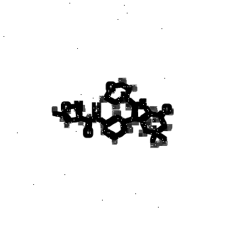 Cc1cc(C(=O)Nc2cccc(-c3c(N4CCOCC4)sc4c3CC(C)(C)CC4=O)c2)no1